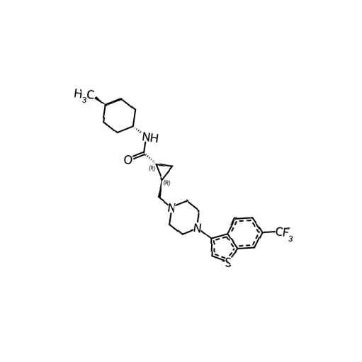 C[C@H]1CC[C@H](NC(=O)[C@@H]2C[C@H]2CN2CCN(c3csc4cc(C(F)(F)F)ccc34)CC2)CC1